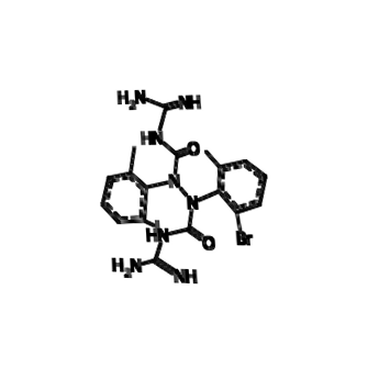 Cc1cccc(Br)c1N(C(=O)NC(=N)N)N(C(=O)NC(=N)N)c1c(C)cccc1I